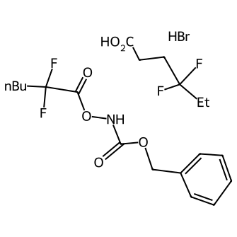 Br.CCC(F)(F)CCC(=O)O.CCCCC(F)(F)C(=O)ONC(=O)OCc1ccccc1